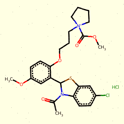 COC(=O)[N+]1(CCCOc2ccc(OC)cc2C2Sc3cc(Cl)ccc3N2C(C)=O)CCCC1.Cl